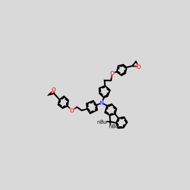 CCCCC1(CCCC)c2ccccc2-c2ccc(N(c3ccc(CCOc4ccc(C5CO5)cc4)cc3)c3ccc(CCOc4ccc(C5CO5)cc4)cc3)cc21